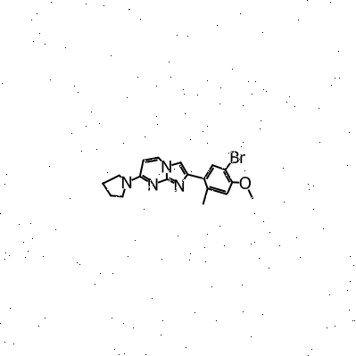 COc1cc(C)c(-c2cn3ccc(N4CCCC4)nc3n2)cc1Br